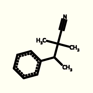 CC(c1ccccc1)C(C)(C)C#N